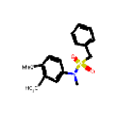 COc1ccc(N(C)S(=O)(=O)Cc2ccccc2)cc1C(=O)O